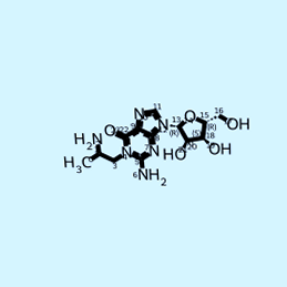 CC(N)Cn1c(N)nc2c(ncn2[C@@H]2O[C@H](CO)[C@@H](O)[C@H]2O)c1=O